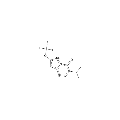 CC(C)c1cnc2cc(OC(F)(F)F)[nH]n2c1=O